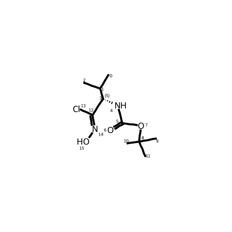 CC(C)[C@H](NC(=O)OC(C)(C)C)C(Cl)=NO